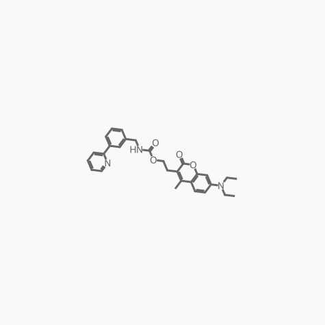 CCN(CC)c1ccc2c(C)c(CCOC(=O)NCc3cccc(-c4ccccn4)c3)c(=O)oc2c1